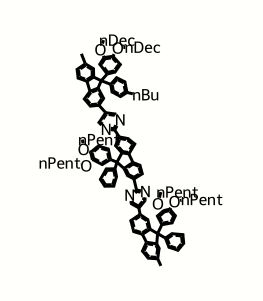 CCCCCCCCCCOc1ccc(C2(c3ccc(CCCC)cc3)c3cc(C)ccc3-c3ccc(-c4cnc(-c5ccc6c(c5)C(c5ccccc5)(c5ccc(OCCCCC)c(OCCCCC)c5)c5cc(-c7ncc(-c8ccc9c(c8)C(c8ccccc8)(c8ccc(OCCCCC)c(OCCCCC)c8)c8cc(C)ccc8-9)cn7)ccc5-6)nc4)cc32)cc1OCCCCCCCCCC